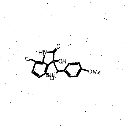 COc1ccc(C(C=O)C2(O)C(=O)Nc3c(Cl)ccc(Cl)c32)cc1